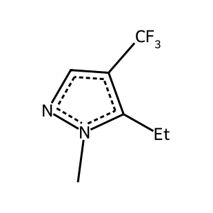 CCc1c(C(F)(F)F)cnn1C